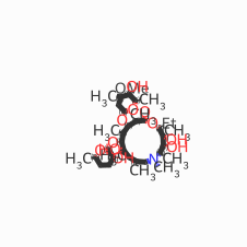 CC[C@H]1OC(=O)[C@H](C)[C@@H](O[C@H]2C[C@@](C)(OC)[C@@H](O)[C@H](C)O2)[C@H](C)[C@@H](O[C@@H]2O[C@H](C)CC[C@H]2O)C(C)(O)C[C@@H](C)CN(C)[C@H](C)[C@H](O)[C@]1(C)O